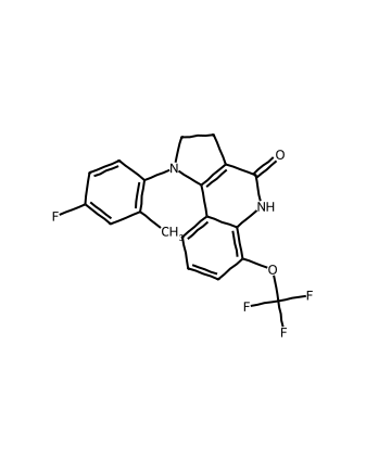 Cc1cc(F)ccc1N1CCc2c1c1cccc(OC(F)(F)F)c1[nH]c2=O